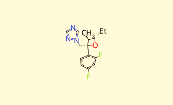 CC[C@@H]1O[C@@](Cn2cncn2)(c2ccc(F)cc2F)[C@H]1C